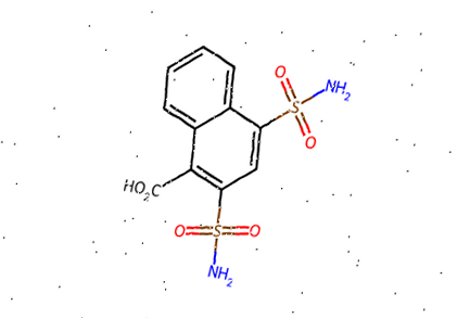 NS(=O)(=O)c1cc(S(N)(=O)=O)c2ccccc2c1C(=O)O